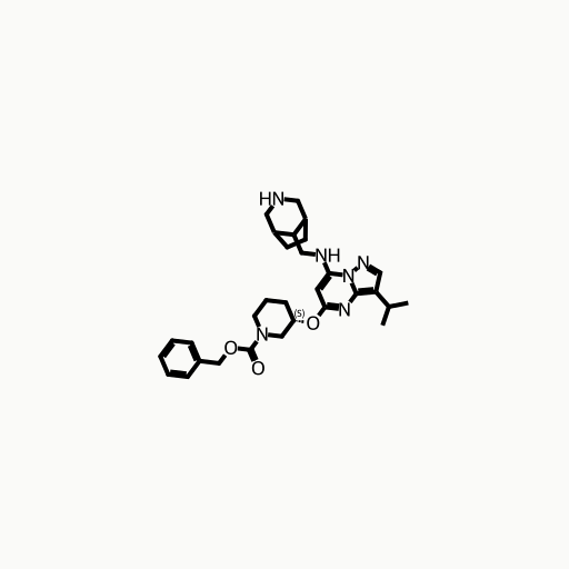 CC(C)c1cnn2c(NCC3C4CCC3CNC4)cc(O[C@H]3CCCN(C(=O)OCc4ccccc4)C3)nc12